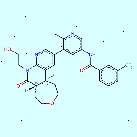 Cc1ncc(NC(=O)c2cccc(C(F)(F)F)c2)cc1-c1cnc2c(c1)[C@@]1(C)CCOCC[C@@H]1C(=O)N2CCO